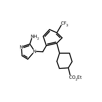 CCOC(=O)C1CCC(c2cc(C(F)(F)F)ccc2Cn2ccnc2N)CC1